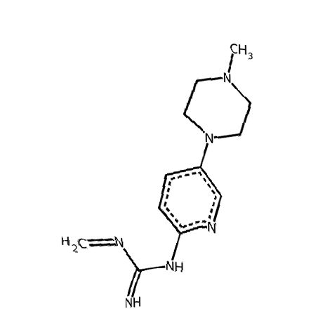 C=NC(=N)Nc1ccc(N2CCN(C)CC2)cn1